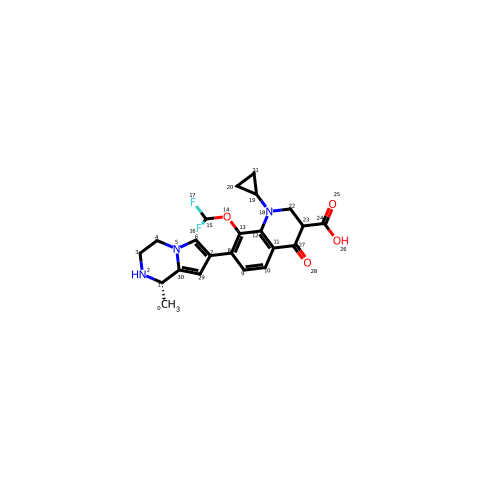 C[C@@H]1NCCn2cc(-c3ccc4c(c3OC(F)F)N(C3CC3)CC(C(=O)O)C4=O)cc21